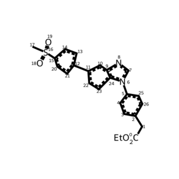 CCOC(=O)Cc1ccc(-n2cnc3cc(-c4ccc(S(C)(=O)=O)cc4)ccc32)cc1